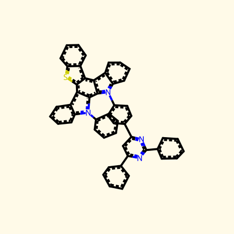 c1ccc(-c2cc(-c3ccc(-n4c5ccccc5c5c6c7ccccc7sc6c6c7ccccc7n(-c7ccccc7)c6c54)cc3)nc(-c3ccccc3)n2)cc1